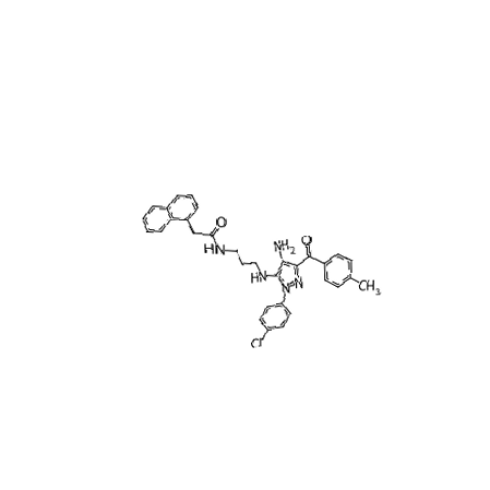 Cc1ccc(C(=O)c2nn(-c3ccc(Cl)cc3)c(NCCCNC(=O)Cc3cccc4ccccc34)c2N)cc1